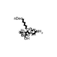 CCCCCCCCCCCCCCCCOC1C(O[PH](=O)O)[C@@H](CO)O[C@H]1n1ccc(N)nc1=O